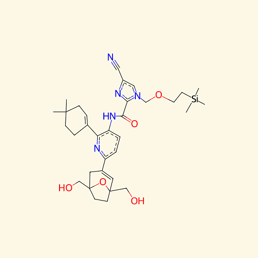 CC1(C)CC=C(c2nc(C3=CC4(CO)CCC(CO)(C3)O4)ccc2NC(=O)c2nc(C#N)cn2COCC[Si](C)(C)C)CC1